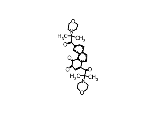 CC(C)(C(=O)C1=CC(=O)C(=O)c2c1ccc1ccc(C(=O)C(C)(C)N3CCOCC3)cc21)N1CCOCC1